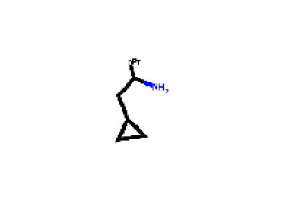 CCCC(N)CC1CC1